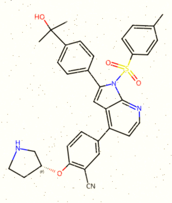 Cc1ccc(S(=O)(=O)n2c(-c3ccc(C(C)(C)O)cc3)cc3c(-c4ccc(O[C@@H]5CCNC5)c(C#N)c4)ccnc32)cc1